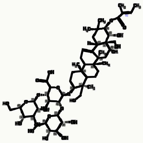 C/C=C(\C)C(=O)O[C@H]1[C@H](O)[C@]2(CO)[C@H](O)C[C@]3(C)C(=CCC4[C@@]5(C)CC[C@H](O[C@@H]6OC(C(=O)O)[C@@H](O[C@@H]7O[C@H](CO)[C@@H](O)[C@H](O)[C@H]7O)[C@H](O)[C@H]6O[C@@H]6O[C@H](CO)[C@@H](O)[C@H](O)[C@H]6O)[C@](C)(CO)C5CC[C@]43C)[C@@H]2CC1(C)C